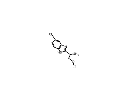 CCOCC(N)c1nc2cc(Cl)ccc2[nH]1